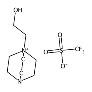 O=S(=O)([O-])C(F)(F)F.OCC[N+]12CCN(CC1)CC2